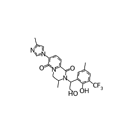 Cc1cc(C(CO)N2C(=O)c3ccc(-n4cnc(C)c4)c(=O)n3CC2C)c(O)c(C(F)(F)F)c1